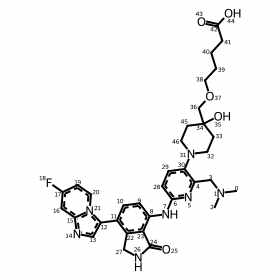 CN(C)Cc1nc(Nc2ccc(-c3cnc4cc(F)ccn34)c3c2C(=O)NC3)ccc1N1CCC(O)(COCCCCC(=O)O)CC1